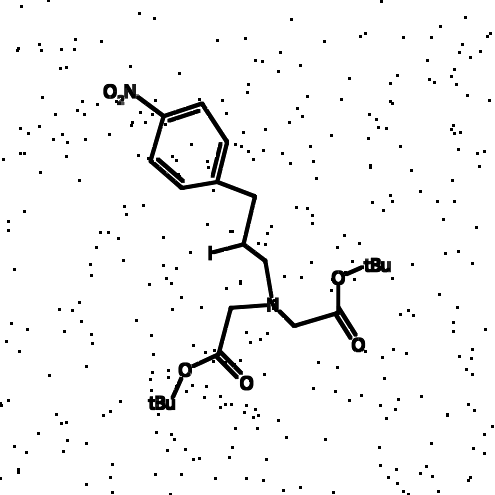 CC(C)(C)OC(=O)CN(CC(=O)OC(C)(C)C)CC(I)Cc1ccc([N+](=O)[O-])cc1